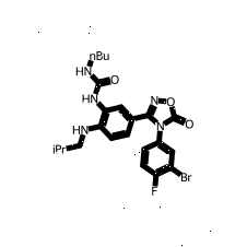 CCCCNC(=O)Nc1cc(-c2noc(=O)n2-c2ccc(F)c(Br)c2)ccc1NCC(C)C